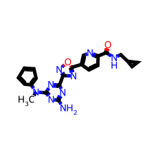 CN(c1ccccc1)c1nc(N)nc(-c2noc(-c3ccc(C(=O)NCC4CC4)nc3)n2)n1